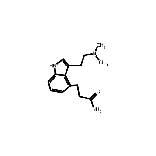 CN(C)CCc1c[nH]c2cccc(CCC(N)=O)c12